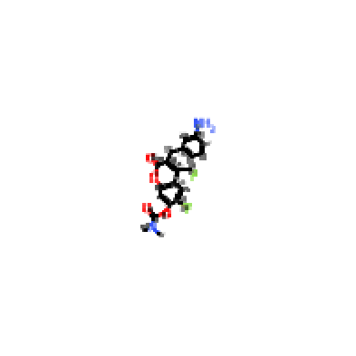 CN(C)C(=O)Oc1cc2oc(=O)c(Cc3cccc(N)c3)c(CF)c2cc1F